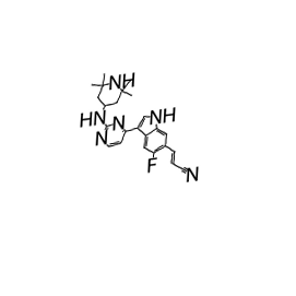 CC1(C)CC(Nc2nccc(-c3c[nH]c4cc(/C=C/C#N)c(F)cc34)n2)CC(C)(C)N1